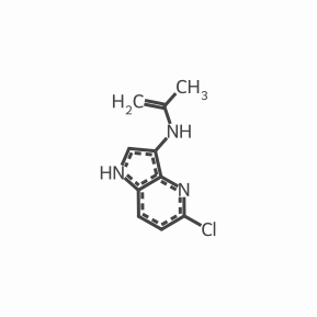 C=C(C)Nc1c[nH]c2ccc(Cl)nc12